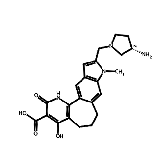 Cn1c(CN2CC[C@H](N)C2)cc2cc3c(cc21)CCCc1c-3[nH]c(=O)c(C(=O)O)c1O